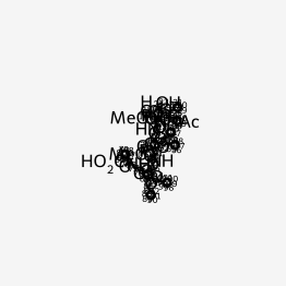 CO[PH](=O)O[C@H]1O[C@H](CONC(=O)C[C@]2(NC(C)=O)[C@@H](O[PH](=O)OC)O[C@H](CO)[C@@H](OCc3ccccc3)[C@@H]2OCc2ccccc2)[C@@H](OCc2ccccc2)[C@H](OCc2ccccc2)[C@H]1CC(=O)NOC[C@H]1O[C@H](OCCNC(=O)c2ccccc2C(=O)O)C[C@@H](OCc2ccccc2)[C@@H]1OCc1ccccc1